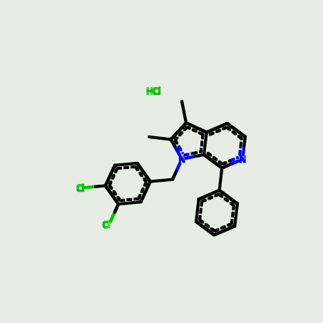 Cc1c(C)n(Cc2ccc(Cl)c(Cl)c2)c2c(-c3ccccc3)nccc12.Cl